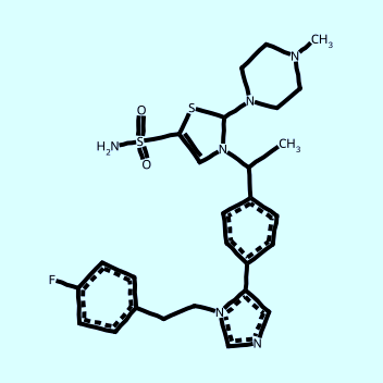 CC(c1ccc(-c2cncn2CCc2ccc(F)cc2)cc1)N1C=C(S(N)(=O)=O)SC1N1CCN(C)CC1